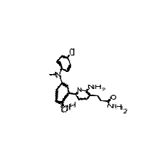 CN(c1ccc(Cl)cc1)c1ccc(O)c(-c2ccc(CCC(N)=O)c(N)n2)c1